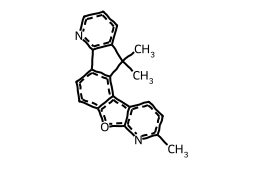 Cc1ccc2c(n1)oc1ccc3c(c12)C(C)(C)c1cccnc1-3